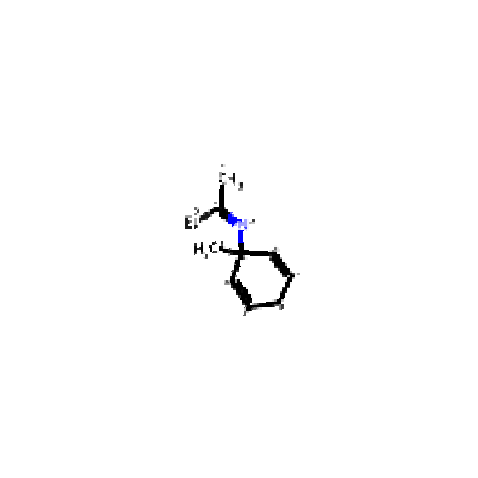 CC/C(C)=N\C1(C)C=CCC=C1